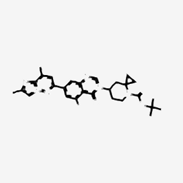 Cc1cn2nc(-c3cc(F)c4c(=O)n(C5CCN(C(=O)OC(C)(C)C)C6(CC6)C5)cnc4c3)cc(C)c2n1